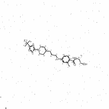 Cc1cc(OCCCC2CCN(c3noc(C(C)(C)F)n3)CC2)ccc1C(=O)N[C@H](C)CO